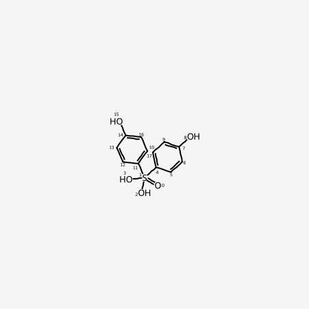 O=S(O)(O)(c1ccc(O)cc1)c1ccc(O)cc1